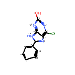 Oc1nc(Cl)c2nc(-c3ccccc3)[nH]c2n1